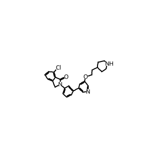 O=C1c2c(Cl)cccc2CN1c1cccc(-c2cncc(OCCC3CCNCC3)c2)c1